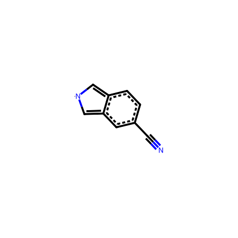 N#Cc1ccc2c(c1)=C[N]C=2